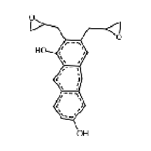 Oc1ccc2cc3c(O)c(CC4CO4)c(CC4CO4)cc3cc2c1